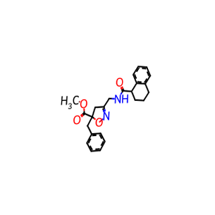 COC(=O)C1(Cc2ccccc2)CC(CNC(=O)C2CCCc3ccccc32)=NO1